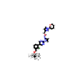 CC(C)(C)[Si](C)(C)OCc1cccc(-c2cnc(N3CCC3=NOCc3ccn(C4CCCCO4)n3)nc2)c1F